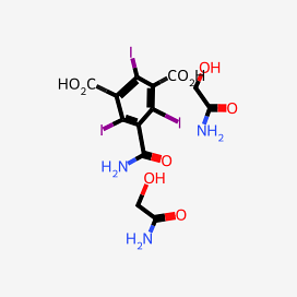 NC(=O)CO.NC(=O)CO.NC(=O)c1c(I)c(C(=O)O)c(I)c(C(=O)O)c1I